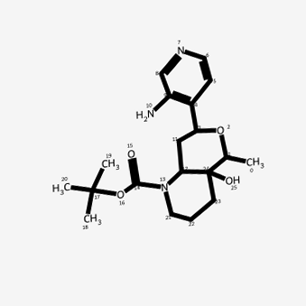 CC1OC(c2ccncc2N)CC2N(C(=O)OC(C)(C)C)CCCC12O